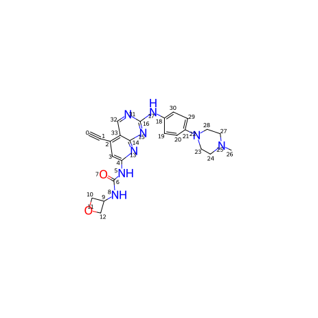 C#Cc1cc(NC(=O)NC2COC2)nc2nc(Nc3ccc(N4CCN(C)CC4)cc3)ncc12